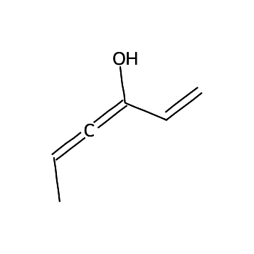 C=CC(O)=C=CC